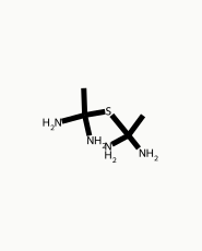 CC(N)(N)SC(C)(N)N